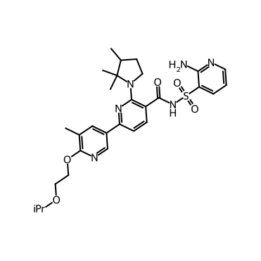 Cc1cc(-c2ccc(C(=O)NS(=O)(=O)c3cccnc3N)c(N3CCC(C)C3(C)C)n2)cnc1OCCOC(C)C